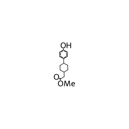 COC(=O)CC1CCC(c2ccc(O)cc2)CC1